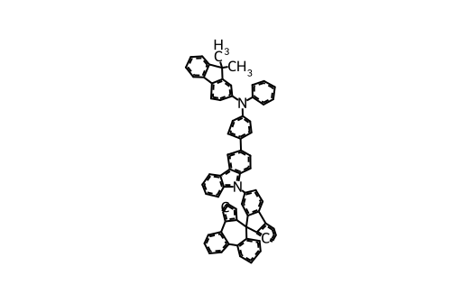 CC1(C)c2ccccc2-c2ccc(N(c3ccccc3)c3ccc(-c4ccc5c(c4)c4ccccc4n5-c4ccc5c(c4)C4(c6ccccc6-c6ccccc6-c6ccccc64)c4ccccc4-5)cc3)cc21